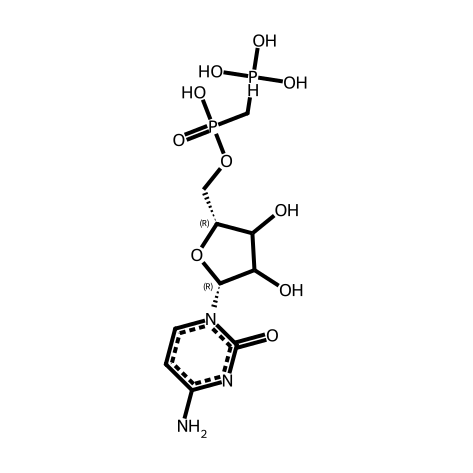 Nc1ccn([C@@H]2O[C@H](COP(=O)(O)C[PH](O)(O)O)C(O)C2O)c(=O)n1